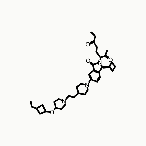 CCC(=O)CCC(C(C)=O)N1C(=O)c2cc(N3CCC(CCN4CCC(OC5CC(CC)C5)CC4)CC3)ccc2C1=C1CCC1